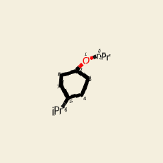 CCCOC1CCC(C(C)C)CC1